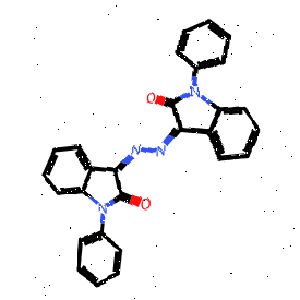 O=C1/C(=N\N=C2/C(=O)N(c3ccccc3)c3ccccc32)c2ccccc2N1c1ccccc1